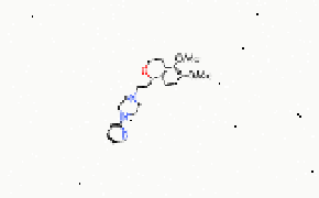 COc1ccc2c(c1OC)CCOC2CCN1CCN(c2ccccn2)CC1